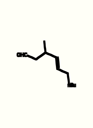 CCCCC/C=C/C(C)CC=O